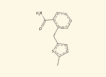 Cc1ccc(Cc2ccccc2C(N)=O)s1